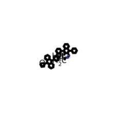 C=C/C=C\c1c(C)c(-c2cccc3c2oc2ccc(-c4c5ccccc5c(-c5ccco5)c5ccccc45)cc23)c2ccccc2c1-c1ccccc1